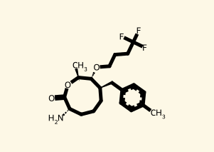 Cc1ccc(C[C@H]2CCC[C@H](N)C(=O)O[C@@H](C)[C@@H]2OCCCC(F)(F)F)cc1